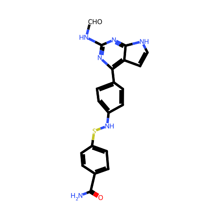 NC(=O)c1ccc(SNc2ccc(-c3nc(NC=O)nc4[nH]ccc34)cc2)cc1